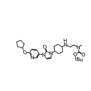 CN(CCNC1CCC(n2ccn(-c3ccc(OC4CCCC4)nc3)c2=O)CC1)C(=O)OC(C)(C)C